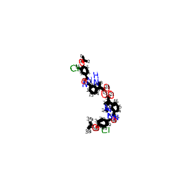 CC(C)Oc1ccc(-c2nc(-c3cccc4c(C(=O)OC(=O)c5cn(C)c6c(-c7noc(-c8ccc(OC(C)C)c(Cl)c8)n7)cccc56)c[nH]c34)no2)cc1Cl